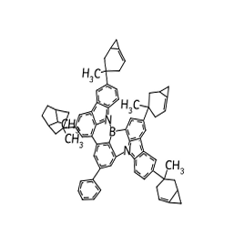 CC1C2CCC1CC(C)(c1cc3c4c(c1)c1cc(C5(C)CC=C6CC6C5)ccc1n4B1c4c-3cc(-c3ccccc3)cc4-n3c4ccc(C5(C)CC=C6CC6C5)cc4c4cc(C5(C)CC=C6CC6C5)cc1c43)C2